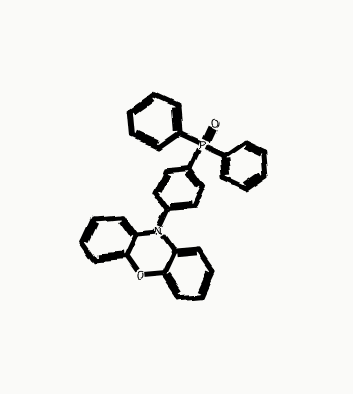 O=P(c1ccccc1)(c1ccccc1)c1ccc(N2c3ccccc3Oc3ccccc32)cc1